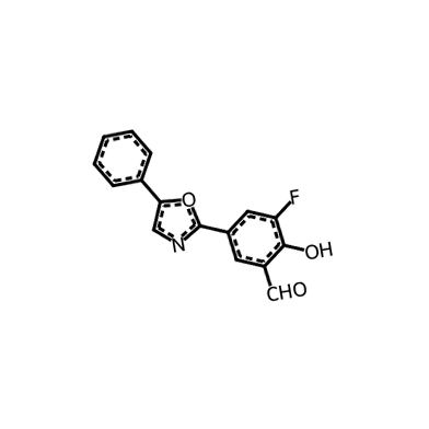 O=Cc1cc(-c2ncc(-c3ccccc3)o2)cc(F)c1O